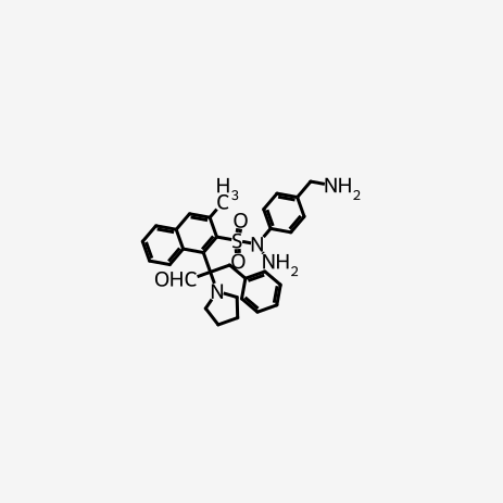 Cc1cc2ccccc2c(C(C=O)(Cc2ccccc2)N2CCCC2)c1S(=O)(=O)N(N)c1ccc(CN)cc1